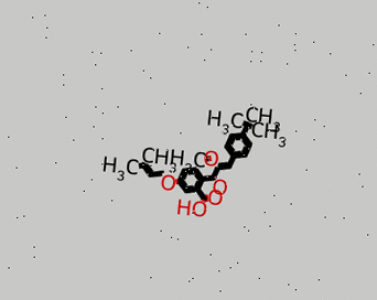 COC(=Cc1ccc(C(C)(C)C)cc1)C(=O)c1ccc(OCC=C(C)C)cc1C(=O)O